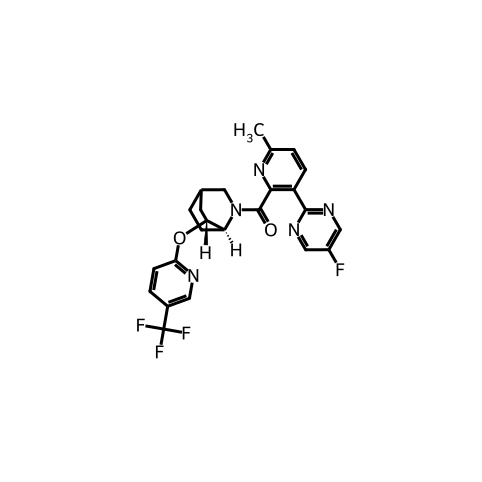 Cc1ccc(-c2ncc(F)cn2)c(C(=O)N2CC3CC[C@H]2[C@H](Oc2ccc(C(F)(F)F)cn2)C3)n1